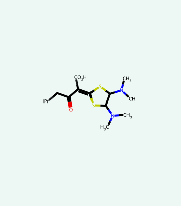 CC(C)CC(=O)C(C(=O)O)=C1SC(N(C)C)C(N(C)C)S1